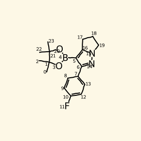 CC1(C)OB(c2c(-c3ccc(F)cc3)nn3c2CCC3)OC1(C)C